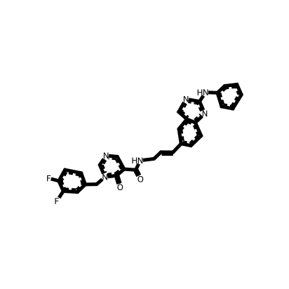 O=C(NCC=Cc1ccc2nc(Nc3ccccc3)ncc2c1)c1cncn(Cc2ccc(F)c(F)c2)c1=O